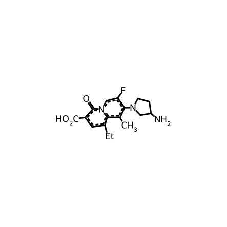 CCc1cc(C(=O)O)c(=O)n2cc(F)c(N3CCC(N)C3)c(C)c12